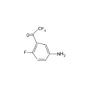 Nc1ccc(F)c(C(=O)C(F)(F)F)c1